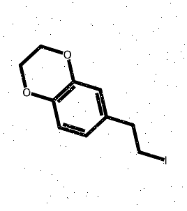 ICCc1ccc2c(c1)OCCO2